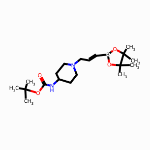 CC(C)(C)OC(=O)NC1CCN(C/C=C/B2OC(C)(C)C(C)(C)O2)CC1